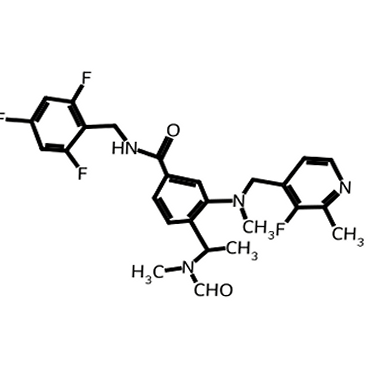 Cc1nccc(CN(C)c2cc(C(=O)NCc3c(F)cc(F)cc3F)ccc2C(C)N(C)C=O)c1F